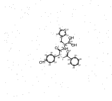 O=C(C[C@@H](C(=O)N[C@@H](Cc1ccsc1)B(O)O)c1ccc(Cl)cc1)c1ccccc1